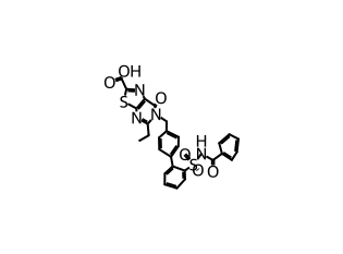 CCc1nc2sc(C(=O)O)nc2c(=O)n1Cc1ccc(-c2ccccc2S(=O)(=O)NC(=O)c2ccccc2)cc1